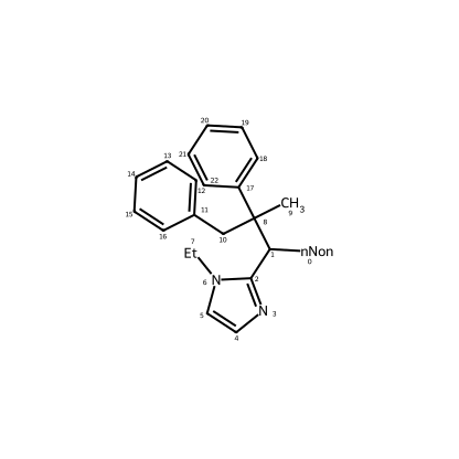 CCCCCCCCCC(c1nccn1CC)C(C)(Cc1ccccc1)c1ccccc1